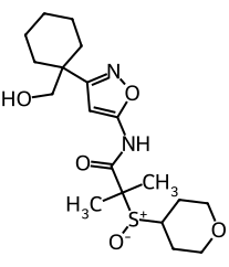 CC(C)(C(=O)Nc1cc(C2(CO)CCCCC2)no1)[S+]([O-])C1CCOCC1